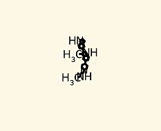 CNCCN1CCC(c2ccc3[nH]c(-c4ccc5[nH]ccc5c4)c(C)c3c2)CC1